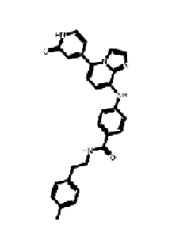 Cc1ccc(CCNC(=O)c2ccc(Nc3ccc(-c4cc[nH]c(=O)c4)n4ccnc34)cc2)cc1